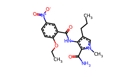 CCCc1cn(C)c(C(N)=O)c1NC(=O)c1cc([N+](=O)[O-])ccc1OCC